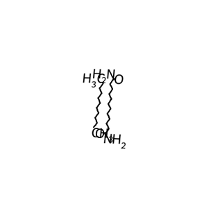 CCCCCCCCCCCC.NC(=O)CCCCCCCCCCC(N)=O